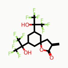 C=C1CC2(CC(C(O)(C(F)(F)F)C(F)(F)F)CC(C(O)(C(F)(F)F)C(F)(F)F)C2)OC1=O